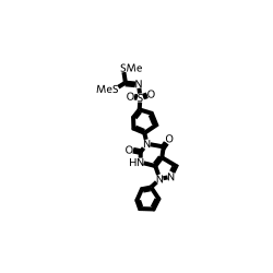 CSC(=NS(=O)(=O)c1ccc(-n2c(=O)[nH]c3c(cnn3-c3ccccc3)c2=O)cc1)SC